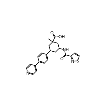 CC1(C(=O)O)CC(NC(=O)c2ccsn2)CC(c2ccc(-c3ccncc3)cc2)C1